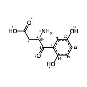 N[C@@H](CC(=O)O)C(=O)c1cc(O)[c]cc1O